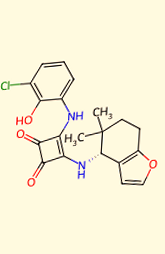 CC1(C)CCc2occc2[C@@H]1Nc1c(Nc2cccc(Cl)c2O)c(=O)c1=O